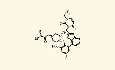 CCN(CC)C(=O)CN1CC[C@@H](Oc2c(C)cc(Cl)cc2-c2ccnc3cc(Cn4c(=O)ccn(CC(F)(F)F)c4=O)sc23)[C@@H](C)C1